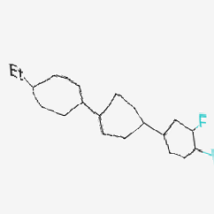 CCC1CCC(C2CCC(C3CCC(F)C(F)C3)CC2)CC1